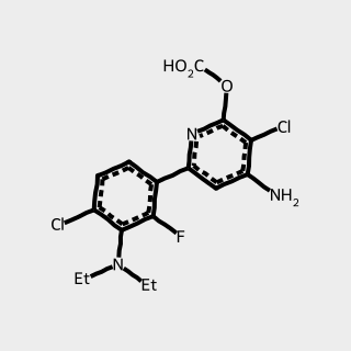 CCN(CC)c1c(Cl)ccc(-c2cc(N)c(Cl)c(OC(=O)O)n2)c1F